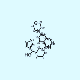 O[C@@H](c1ccsc1)[C@H]1CCCN(c2nnnc3cc(N4CCOCC4)ccc23)C1